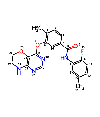 Cc1ccc(C(=O)Nc2cc(C(F)(F)F)ccc2F)cc1Oc1ncnc2c1OCCN2